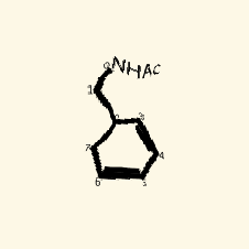 CC(=O)NCC1C=CC=CC1